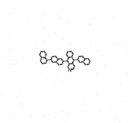 c1ccc2cc(-c3c4ccccc4c(-c4ccc5cc(-c6cccc7ccccc67)ccc5c4)c4cnccc34)ccc2c1